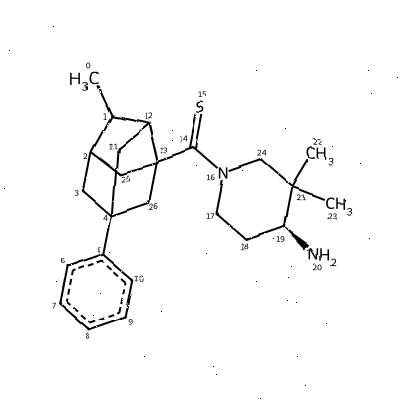 CC1C2CC3(c4ccccc4)CC1C(C(=S)N1CC[C@H](N)C(C)(C)C1)(C2)C3